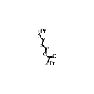 CCCC(=O)OCCCOC(C)C